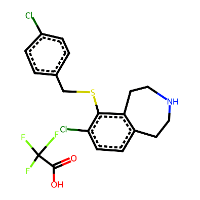 Clc1ccc(CSc2c(Cl)ccc3c2CCNCC3)cc1.O=C(O)C(F)(F)F